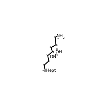 CCCCCCCCCCCCCCN.O=NO